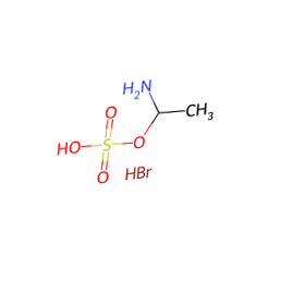 Br.CC(N)OS(=O)(=O)O